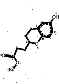 CC(C)(C)OC(=O)CCC1CCc2cc(O)ccc2O1